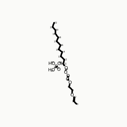 CC=COCCOOOOOCCCCCCCCCCCC.O=P(O)(O)O